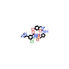 COc1ccc(CN(C)C(=O)NC2CCC(CS(=O)(=O)NNC(=O)c3cc(-c4cn(C)cn4)cc(Cl)c3F)C2)cc1